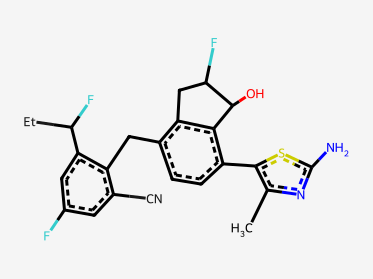 CCC(F)c1cc(F)cc(C#N)c1Cc1ccc(-c2sc(N)nc2C)c2c1CC(F)C2O